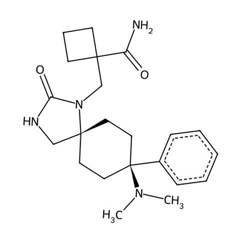 CN(C)[C@]1(c2ccccc2)CC[C@@]2(CC1)CNC(=O)N2CC1(C(N)=O)CCC1